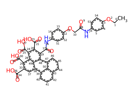 CCOc1ccc(NC(=O)COc2ccc(NC(=O)c3c(C(=O)O)c(C(=O)O)c4c(C(=O)O)c(C(=O)O)cc5c6cccc7cccc(c3c45)c76)cc2)cc1